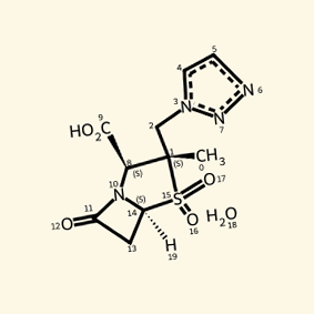 C[C@]1(Cn2ccnn2)[C@H](C(=O)O)N2C(=O)C[C@@H]2S1(=O)=O.O